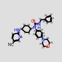 N#Cc1ccc(N[C@H]2CC[C@H](N(C(=O)NCc3ccccc3)c3ccc(N4CCOCC4)cc3)CC2)nc1